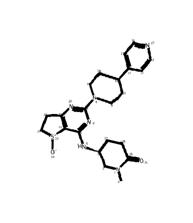 CN1C[C@@H](Nc2nc(N3CCC(c4ccncc4)CC3)nc3c2[S+]([O-])CC3)CCC1=O